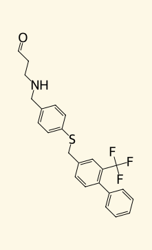 O=CCCNCc1ccc(SCc2ccc(-c3ccccc3)c(C(F)(F)F)c2)cc1